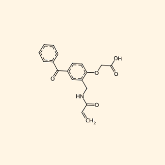 C=CC(=O)NCc1cc(C(=O)c2ccccc2)ccc1OCC(=O)O